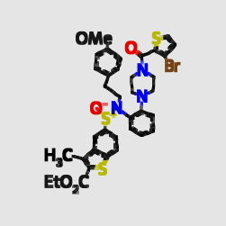 CCOC(=O)c1sc2ccc([S+]([O-])N(CCc3ccc(OC)cc3)c3ccccc3N3CCN(C(=O)c4sccc4Br)CC3)cc2c1C